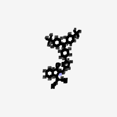 CC(C)(C)c1ccc(N(c2ccc(-c3ccc(/C=C4\C(=O)c5ccccc5C4=C(C#N)C#N)s3)cc2)c2ccc(C(C)(C)C)cc2)cc1